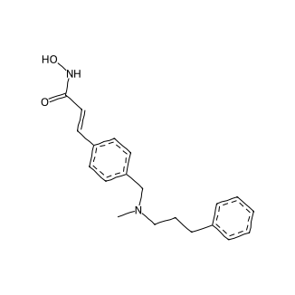 CN(CCCc1ccccc1)Cc1ccc(/C=C/C(=O)NO)cc1